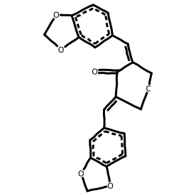 O=C1C(=Cc2ccc3c(c2)OCO3)CCCC1=Cc1ccc2c(c1)OCO2